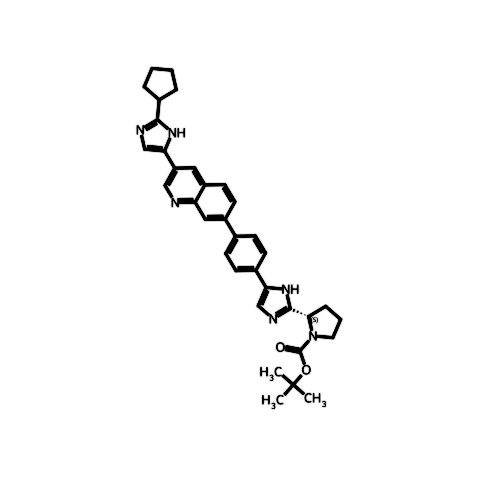 CC(C)(C)OC(=O)N1CCC[C@H]1c1ncc(-c2ccc(-c3ccc4cc(-c5cnc(C6CCCC6)[nH]5)cnc4c3)cc2)[nH]1